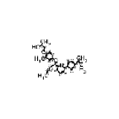 C=C(O)COc1ccc(OC(COCC)c2cccc(-c3ccc(C(C)C)cc3)n2)cc1C